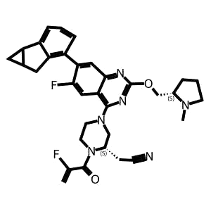 C=C(F)C(=O)N1CCN(c2nc(OC[C@@H]3CCCN3C)nc3cc(-c4cccc5c4CC4CC54)c(F)cc23)C[C@@H]1CC#N